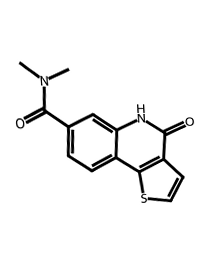 CN(C)C(=O)c1ccc2c(c1)[nH]c(=O)c1ccsc12